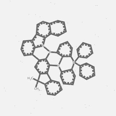 CC1(C)c2ccccc2-c2c1cc1c3c2N2c4ccccc4[Si](c4ccccc4)(c4ccccc4)c4cccc(c42)B3n2c3c-1cccc3c1ccc3ccccc3c12